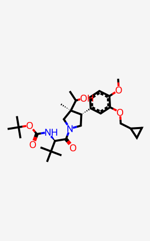 COc1ccc([C@@H]2CN(C(=O)[C@H](NC(=O)OC(C)(C)C)C(C)(C)C)C[C@@]2(C)C(C)O)cc1OCC1CC1